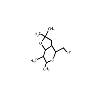 CC(C)CC1OC(C)C(C)C2OC(C)(C)CC12